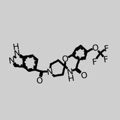 O=C1NC2(CCN(C(=O)c3ccc4[nH]ncc4c3)CC2)Oc2ccc(OC(F)(F)F)cc21